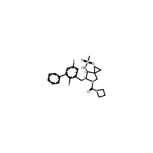 CS(=O)(=O)N[C@@H]1[C@H](Cc2cc(F)cc(-c3ccccc3)c2F)N(C(=O)N2CCC2)CC12CC2